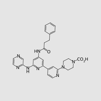 O=C(CCc1ccccc1)Nc1cc(Nc2cnccn2)nc(-c2ccnc(N3CCN(C(=O)O)CC3)c2)c1